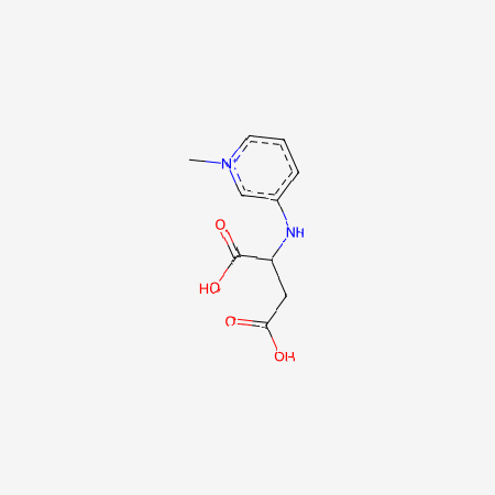 C[n+]1cccc(NC(CC(=O)O)C(=O)O)c1